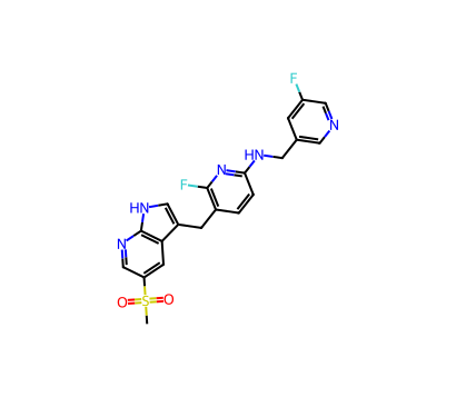 CS(=O)(=O)c1cnc2[nH]cc(Cc3ccc(NCc4cncc(F)c4)nc3F)c2c1